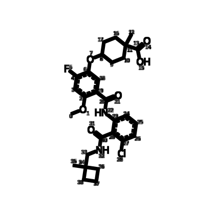 COc1cc(F)c(OC2CCC(C)(C(=O)O)CC2)cc1C(=O)Nc1cccc(Cl)c1C(=O)NCC1(C)CCC1